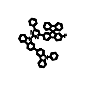 Fc1ccc2c(c1)C1(c3ccccc3-c3ccccc31)c1cc(-c3cc(-c4ccccc4)nc(-n4c5ccccc5c5ccc(-c6ccc7c(c6)c6ccccc6n7-c6ccccc6)cc54)n3)ccc1-2